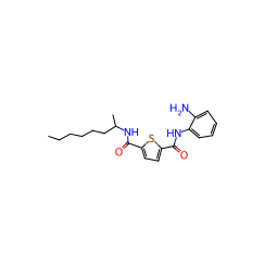 CCCCCCC(C)NC(=O)c1ccc(C(=O)Nc2ccccc2N)s1